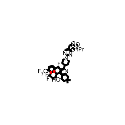 CC(C)S(=O)(=O)N(C)Cc1cnc(N2CCC(c3nc4c(c(C5CCC(F)(F)CC5)c3C(F)c3ccc(C(F)(F)F)cc3)[C@@H](O)CC(C)(C)C4)CC2)nc1